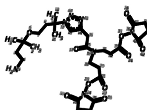 CC(C)(CCN)OCCC(C)(C)n1cc(CC(=O)N(CCC(=O)ON2C(=O)CCC2=O)CCC(=O)ON2C(=O)CCC2=O)nn1